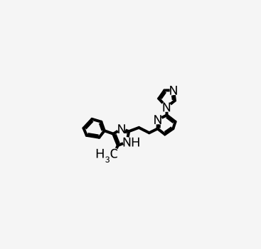 Cc1[nH]c(CCc2cccc(-n3ccnc3)n2)nc1-c1ccccc1